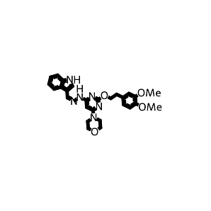 COc1ccc(CCOc2nc(N/N=C\c3c[nH]c4ccccc34)cc(N3CCOCC3)n2)cc1OC